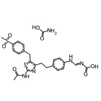 CC(=O)Nc1nc(CCc2ccc(NC=NC(=O)O)cc2)c(Cc2ccc(S(C)(=O)=O)cc2)s1.NC(=O)O